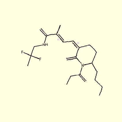 C=C(NCC(C)(F)F)/C(C)=C/C=C1/CCC(CCCC)N(C(=C)CC)C1=C